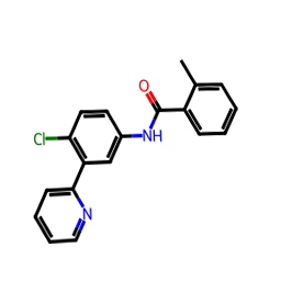 Cc1ccccc1C(=O)Nc1ccc(Cl)c(-c2ccccn2)c1